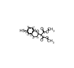 COC(=O)C(C(=O)OC)C1CCc2cc(S)ccc2O1